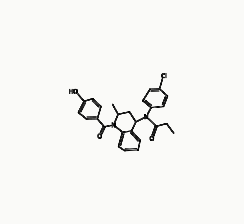 CCC(=O)N(c1ccc(Cl)cc1)C1CC(C)N(C(=O)c2ccc(O)cc2)c2ccccc21